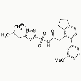 COc1cc(-c2ccc3c(c2CC(=O)NS(=O)(=O)c2cc(CN(C)C)n(C(C)C)n2)CCC3)ccn1